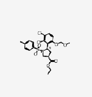 CCOC(=O)C1C[C@H](c2c(OCOC)ccc(Cl)c2Cl)N(S(=O)(=O)c2ccc(C)cc2)C1